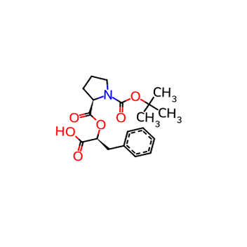 CC(C)(C)OC(=O)N1CCC[C@@H]1C(=O)O[C@@H](Cc1ccccc1)C(=O)O